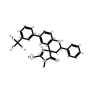 CN1C(=O)C2(CC(c3ccccc3)Oc3ccc(-c4cccc(C(F)(F)F)c4)cc32)N=C1N